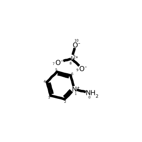 N[n+]1ccccc1.[O-][I+2]([O-])[O-]